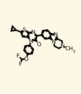 CN1CCn2c(nc3ccc(-c4nc5sc(C6CC6)cc5n(-c5ccc(OC(F)F)cc5)c4=O)cc32)C1